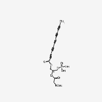 CC#CC#CC#CC#CC#CC(=O)OC[C@@H](COP(=O)(O)O)OC(=O)CCCCCCCCCCC